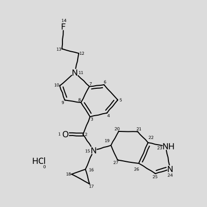 Cl.O=C(c1cccc2c1ccn2CCF)N(C1CC1)C1CCc2[nH]ncc2C1